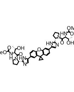 COC(=O)N[C@H](C(=O)N1CCC[C@H]1c1ncc(-c2ccc3c(c2)Oc2ccc(-c4cnc([C@@H]5CCCN5C(=O)[C@@H](NC(=O)OC)[C@H](C)O)[nH]4)cc2C32CC2)[nH]1)[C@H](C)O